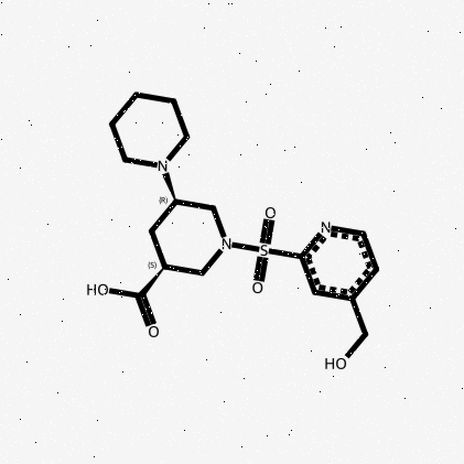 O=C(O)[C@H]1C[C@@H](N2CCCCC2)CN(S(=O)(=O)c2cc(CO)ccn2)C1